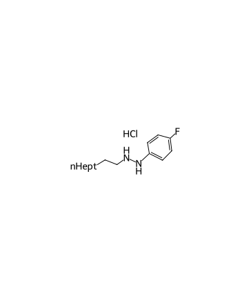 CCCCCCCCCNNc1ccc(F)cc1.Cl